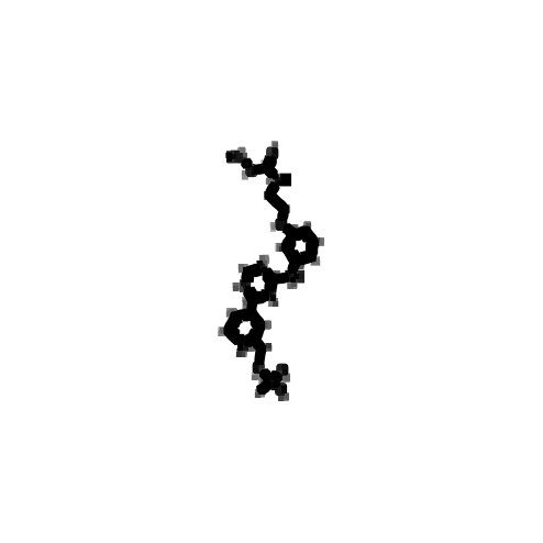 CC(C)(C)OC(=O)NCCOc1cccc(Nc2ncnc(-c3ccnc(COS(C)(=O)=O)c3)n2)c1